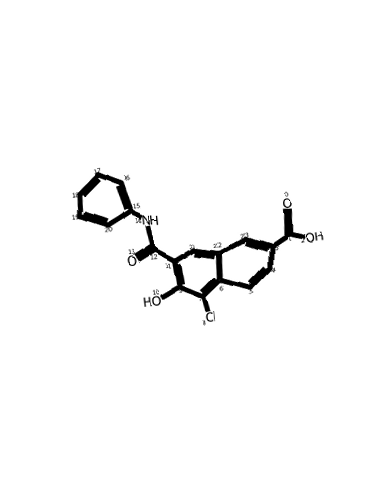 O=C(O)c1ccc2c(Cl)c(O)c(C(=O)Nc3ccccc3)cc2c1